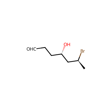 C[C@H](Br)C[C@@H](O)CCC=O